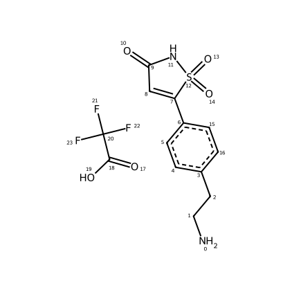 NCCc1ccc(C2=CC(=O)NS2(=O)=O)cc1.O=C(O)C(F)(F)F